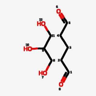 O=CCCCC=O.OCC(O)CO